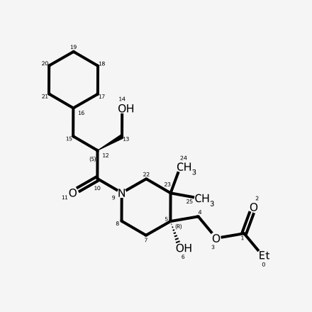 CCC(=O)OC[C@@]1(O)CCN(C(=O)[C@H](CO)CC2CCCCC2)CC1(C)C